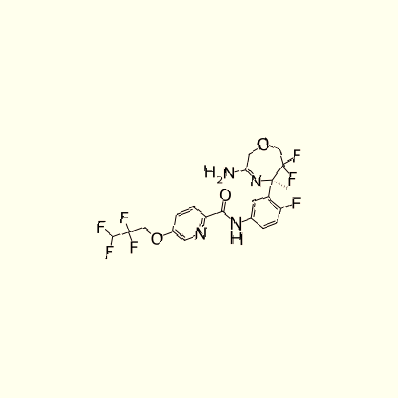 C[C@]1(c2cc(NC(=O)c3ccc(OCC(F)(F)C(F)F)cn3)ccc2F)N=C(N)COCC1(F)F